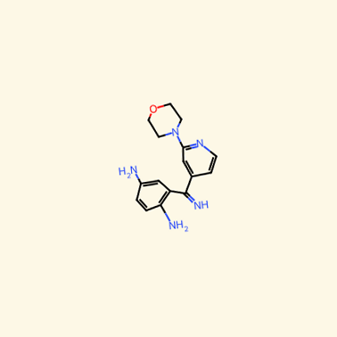 N=C(c1ccnc(N2CCOCC2)c1)c1cc(N)ccc1N